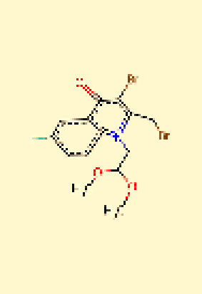 COC(Cn1c(CBr)c(Br)c(=O)c2cc(F)ccc21)OC